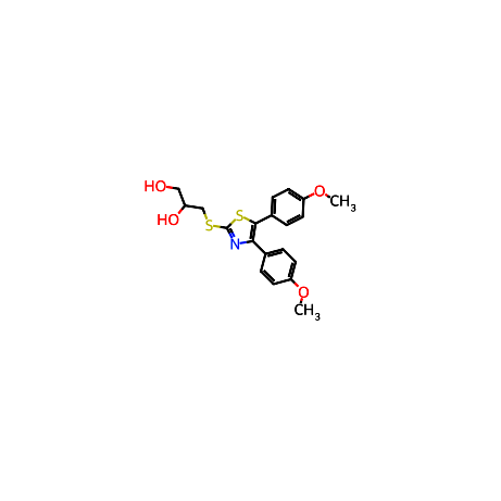 COc1ccc(-c2nc(SCC(O)CO)sc2-c2ccc(OC)cc2)cc1